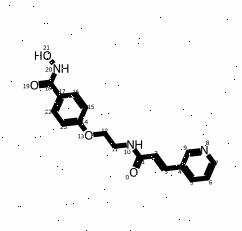 O=C(C=Cc1cccnc1)NCCOc1ccc(C(=O)NO)cc1